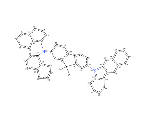 CC1(C)c2cc(N(c3cccc4ccccc34)c3cccc4ccccc34)ccc2-c2ccc(-n3c4ccccc4c4cc5ccccc5cc43)cc21